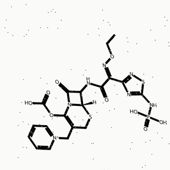 CCON=C(C(=O)NC1C(=O)N2C(OC(=O)O)=C(C[n+]3ccccc3)CS[C@@H]12)c1nsc(NP(=O)(O)O)n1